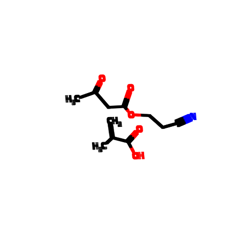 C=C(C)C(=O)O.CC(=O)CC(=O)OCCC#N